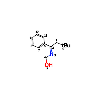 CC(C)(C)C/C(=N/CO)c1ccccc1